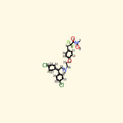 CON(C)C(=O)C(F)(F)Cc1ccc(OCCN(C)CC(c2ccc(Cl)cc2)c2ccc(Cl)cc2)cc1